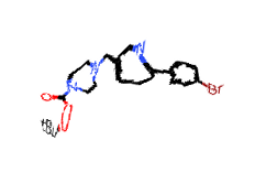 CC(C)(C)OC(=O)N1CCN(Cc2ccc(-c3ccc(Br)cc3)nc2)CC1